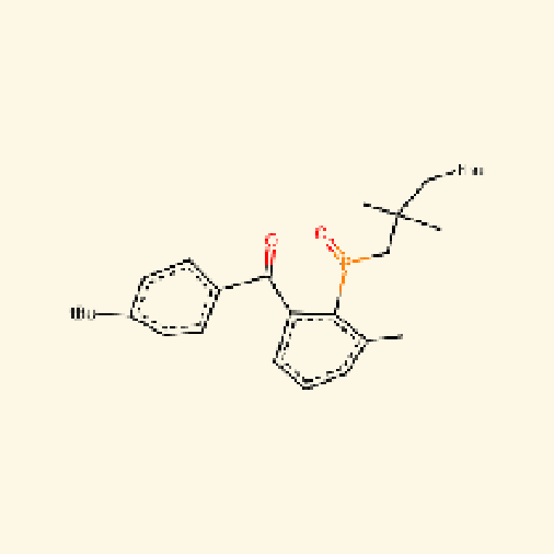 Cc1cccc(C(=O)c2ccc(C(C)(C)C)cc2)c1[P](=O)CC(C)(C)CC(C)(C)C